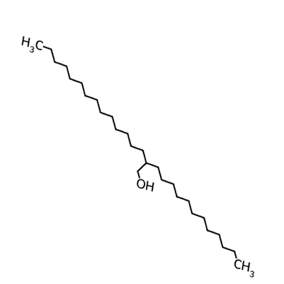 CCCCCCCCCCCCCCC(CO)CCCCCCCCCCCC